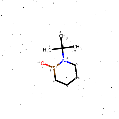 CC(C)(C)N1CCCC[S+]1[O-]